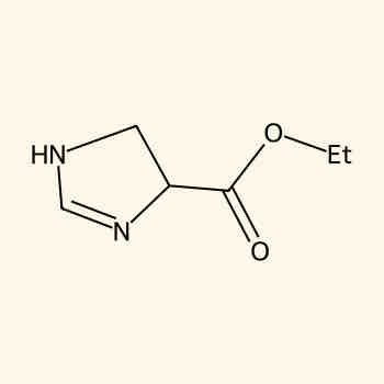 CCOC(=O)C1CNC=N1